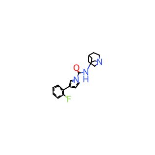 O=C(NC1CC2CCN(CC2)C1)n1ccc(-c2ccccc2F)c1